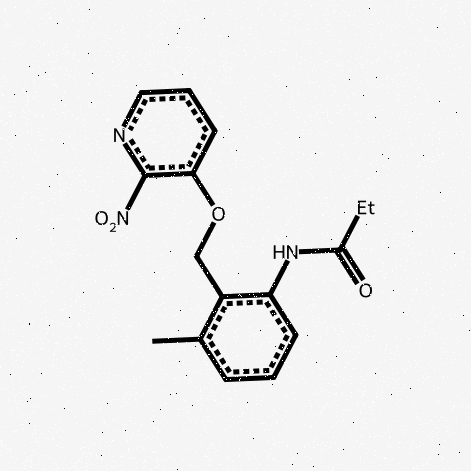 CCC(=O)Nc1cccc(C)c1COc1cccnc1[N+](=O)[O-]